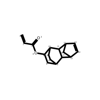 C=CC(=O)OC1CC2CCC1C1C3C=CC(C3)C21